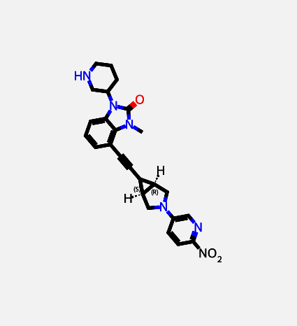 Cn1c(=O)n(C2CCCNC2)c2cccc(C#CC3[C@H]4CN(c5ccc([N+](=O)[O-])nc5)C[C@@H]34)c21